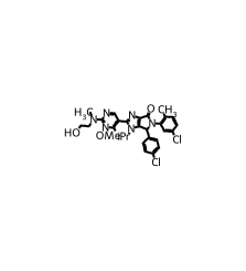 COc1nc(N(C)CCO)ncc1-c1nc2c(n1C(C)C)C(c1ccc(Cl)cc1)N(c1cc(Cl)ccc1C)C2=O